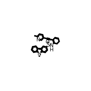 Cc1ccc(C#CC2=C(N[S+]([O-])c3ccc4c(c3)c3ccccc3n4C)CCC=C2)cn1